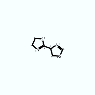 C1=NC(C2=NCCS2)CS1